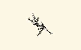 CCCCCCCCCCOC(CCCCCC)(OCCCCCCCCCC)OC(CCCC)OCOCOC(CCCC)OC(CCCCCC)(OCCCCCCCCCC)OCCCCCCCCCC